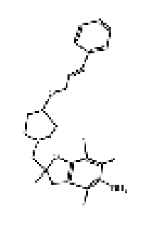 Cc1c(C)c2c(c(C)c1N)CC(C)(CN1CCC(OCC=Cc3ccccc3)CC1)O2